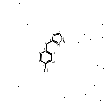 Clc1ccc(Cc2cc[nH]n2)cc1